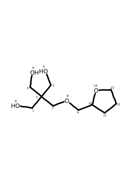 OCC(CO)(CO)COCC1CCCO1